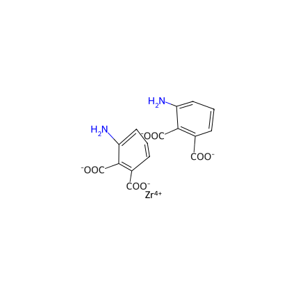 Nc1cccc(C(=O)[O-])c1C(=O)[O-].Nc1cccc(C(=O)[O-])c1C(=O)[O-].[Zr+4]